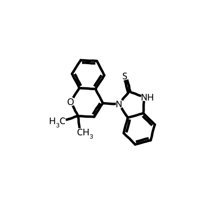 CC1(C)C=C(n2c(=S)[nH]c3ccccc32)c2ccccc2O1